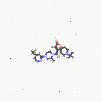 CC1=C(C(=O)N2CCN(c3cc(C(F)(F)F)cnn3)CC2C)C2(CCN(C(C)(C)C)CC2)OC1=O